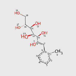 Cc1ccccc1C=C(O)[C@H](O)[C@@H](O)[C@H](O)[C@H](O)CO